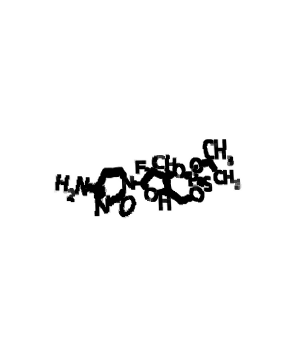 CC(C)O[P@]1(=S)OC[C@H]2O[C@@H](n3ccc(N)nc3=O)[C@](F)(Cl)[C@@H]2O1